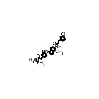 Cc1c(NC(=O)CCc2cccc(Cl)c2)ccc2c1CCC2Nc1ccc(CC(=O)N(C)C)cc1